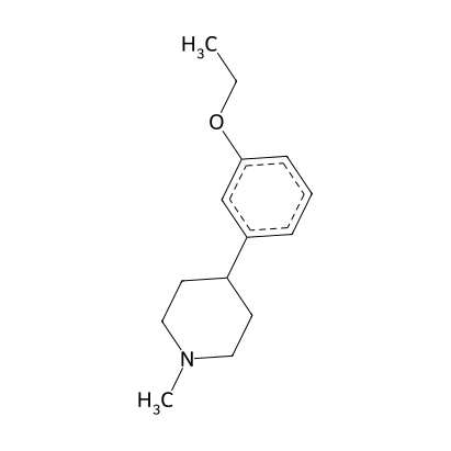 CCOc1cccc(C2CCN(C)CC2)c1